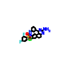 Nc1nc2c(c(-c3cccc(F)c3)n1)-c1cc(NS(=O)(=O)c3ccc(F)cc3F)c(Cl)cc1CC2